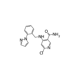 NC(=O)c1cnc(Cl)cc1NCc1ccccc1-n1cccn1